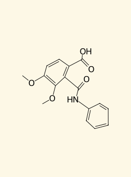 COc1ccc(C(=O)O)c(C(=O)Nc2ccccc2)c1OC